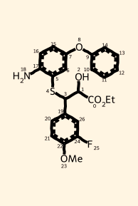 CCOC(=O)C(O)C(Sc1cc(Oc2ccccc2)ccc1N)c1ccc(OC)c(F)c1